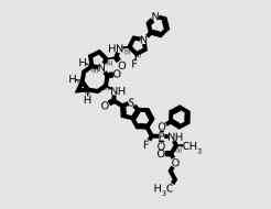 CCCOC(=O)[C@H](C)NP(=O)(Oc1ccccc1)C(F)c1ccc2sc(C(=O)N[C@H]3C[C@H]4C[C@H]4C[C@H]4CC[C@@H](C(=O)N[C@H]5CN(c6cccnc6)C[C@@H]5F)N4C3=O)cc2c1